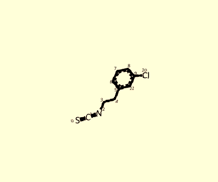 S=C=NCCc1cccc(Cl)c1